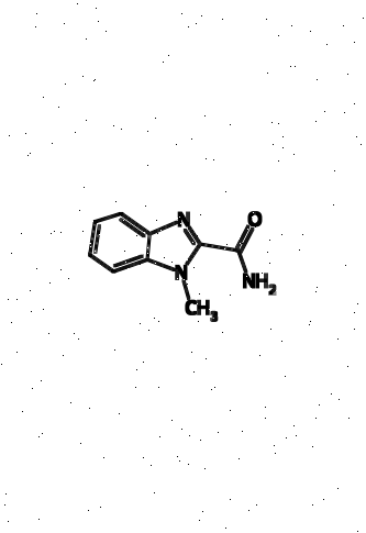 Cn1c(C(N)=O)nc2ccccc21